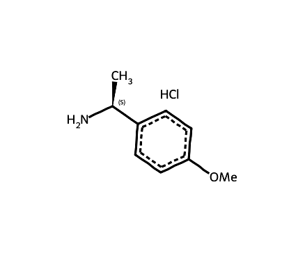 COc1ccc([C@H](C)N)cc1.Cl